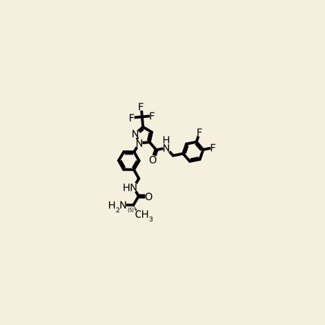 C[C@H](N)C(=O)NCc1cccc(-n2nc(C(F)(F)F)cc2C(=O)NCc2ccc(F)c(F)c2)c1